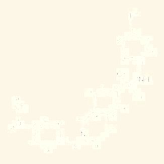 O=S(=O)(Nc1ccc(F)cc1)c1ccc2c(c1)CCN(Cc1ccc(OC(F)(F)F)cc1)C2